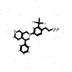 CC(C1=C(COc2ccc(CCC(=O)O)c(C(C)(F)F)c2)COCC1)c1ccccc1